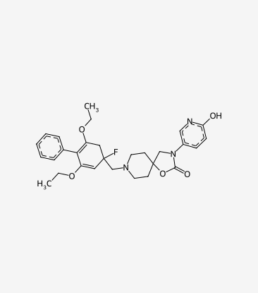 CCOC1=CC(F)(CN2CCC3(CC2)CN(c2ccc(O)nc2)C(=O)O3)CC(OCC)=C1c1ccccc1